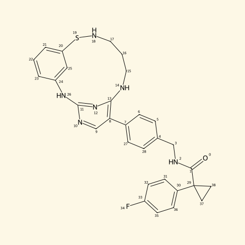 O=C(NCc1ccc(-c2cnc3nc2NCCCNSc2cccc(c2)N3)cc1)C1(c2ccc(F)cc2)CC1